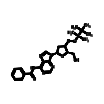 CC(C)(C)[Si](C)(C)OOC1C[C@H](n2cnc3c(NC(=O)c4ccccc4)ncnc32)O[C@@H]1CO